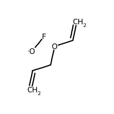 C=CCOC=C.[O]F